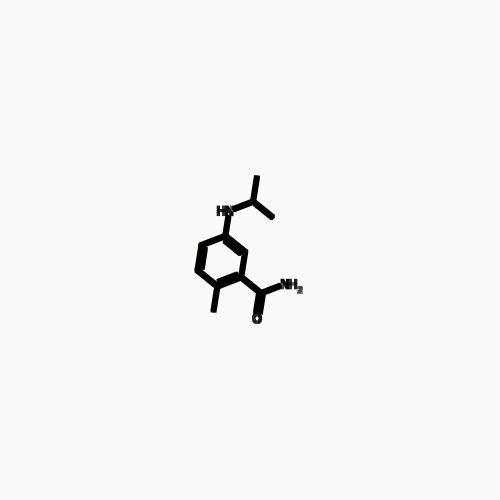 Cc1ccc(NC(C)C)cc1C(N)=O